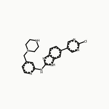 Clc1ncc(-c2ccc3nc(Nc4cc(CN5CCNCC5)ccn4)[nH]c3c2)cn1